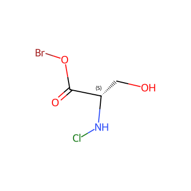 O=C(OBr)[C@H](CO)NCl